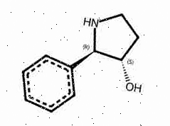 O[C@H]1CCN[C@@H]1c1ccccc1